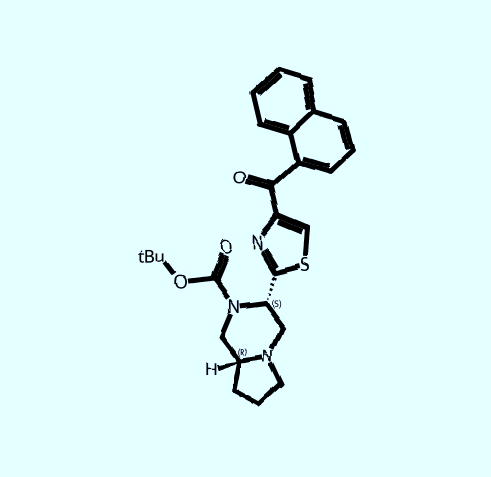 CC(C)(C)OC(=O)N1C[C@H]2CCCN2C[C@H]1c1nc(C(=O)c2cccc3ccccc23)cs1